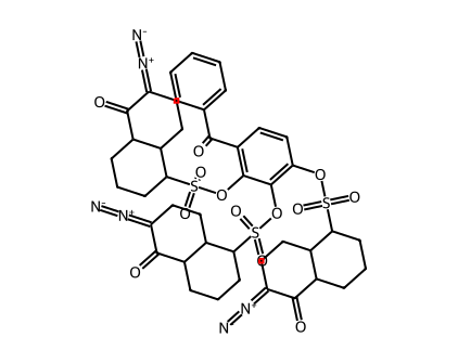 [N-]=[N+]=C1CCC2C(CCCC2S(=O)(=O)Oc2ccc(C(=O)c3ccccc3)c(OS(=O)(=O)C3CCCC4C(=O)C(=[N+]=[N-])CCC43)c2OS(=O)(=O)C2CCCC3C(=O)C(=[N+]=[N-])CCC32)C1=O